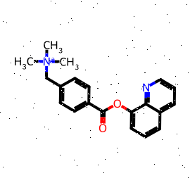 C[N+](C)(C)Cc1ccc(C(=O)Oc2cccc3cccnc23)cc1